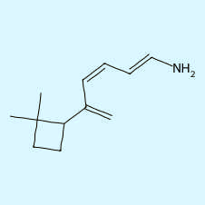 C=C(/C=C\C=C\N)C1CCC1(C)C